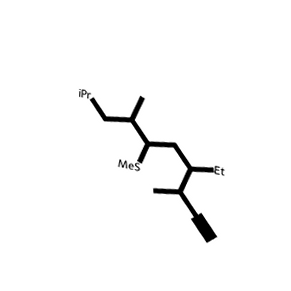 C#CC(C)C(CC)CC(SC)C(C)CC(C)C